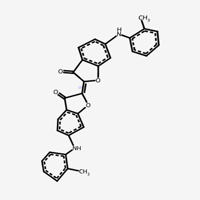 Cc1ccccc1Nc1ccc2c(c1)O/C(=C1\Oc3cc(Nc4ccccc4C)ccc3C1=O)C2=O